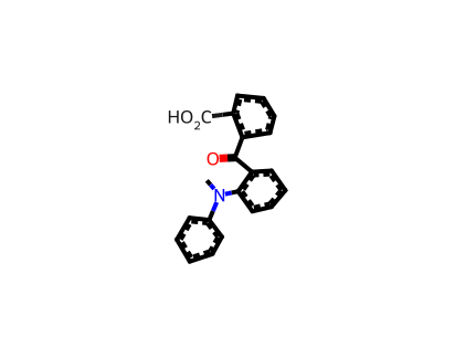 CN(c1ccccc1)c1ccccc1C(=O)c1ccccc1C(=O)O